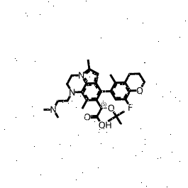 Cc1c(-c2c([C@H](OC(C)(C)C)C(=O)O)c(C)c3c4c2cc(C)n4CCN3CCN(C)C)cc(F)c2c1CCCO2